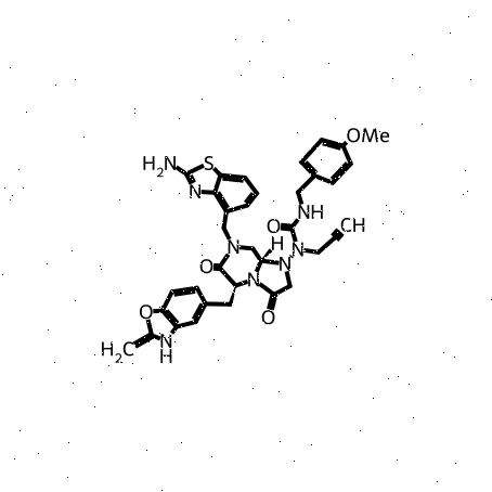 C#CCN(C(=O)NCc1ccc(OC)cc1)N1CC(=O)N2[C@@H](Cc3ccc4c(c3)NC(=C)O4)C(=O)N(Cc3cccc4sc(N)nc34)C[C@@H]21